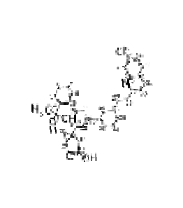 CC(C)(O)c1ccccc1CC[C@@H](SCC1(CC(=O)O)CC1)c1cccc(CCc2ccc3ccc(Cl)cc3n2)c1